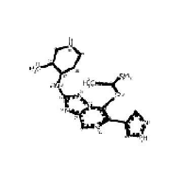 CC(C)Oc1c(-c2cn[nH]c2)ncc2nc(NC3CCNCC3C)nn12